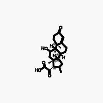 CC1C[C@H]2[C@@H]3CCC4=CC(=O)CC[C@]4(C)[C@H]3C(O)C[C@]2(C)[C@H]1C(=O)C(=O)O